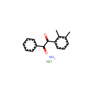 Cc1cccc(C(=O)C(=O)c2ccccc2)c1C.Cl.N